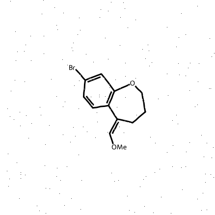 COC=C1CCCOc2cc(Br)ccc21